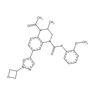 COc1ccccc1OC(=O)N1CC(C)N(C(C)=O)c2ccc(-c3cnn(C4COC4)c3)cc21